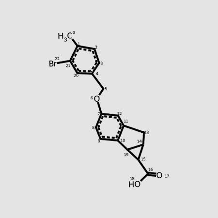 Cc1ccc(COc2ccc3c(c2)CC2C(C(=O)O)C32)cc1Br